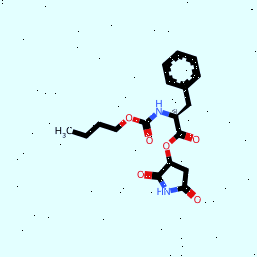 CCCCOC(=O)N[C@@H](Cc1ccccc1)C(=O)OC1CC(=O)NC1=O